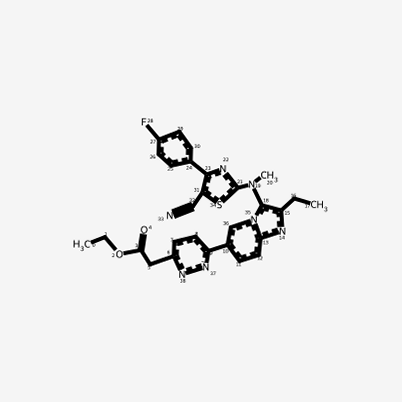 CCOC(=O)Cc1ccc(-c2ccc3nc(CC)c(N(C)c4nc(-c5ccc(F)cc5)c(C#N)s4)n3c2)nn1